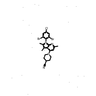 Cc1cc(N2CCC(C#N)CC2)c2c(C)c(C)n(-c3c(Br)cc(Cl)cc3Br)c2n1